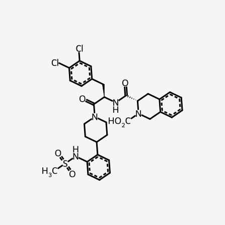 CS(=O)(=O)Nc1ccccc1C1CCN(C(=O)[C@@H](Cc2ccc(Cl)c(Cl)c2)NC(=O)[C@@H]2Cc3ccccc3CN2C(=O)O)CC1